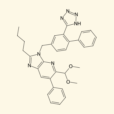 CCCCc1nc2cc(-c3ccccc3)c(C(OC)OC)nc2n1Cc1ccc(-c2ccccc2)c(-c2nnn[nH]2)c1